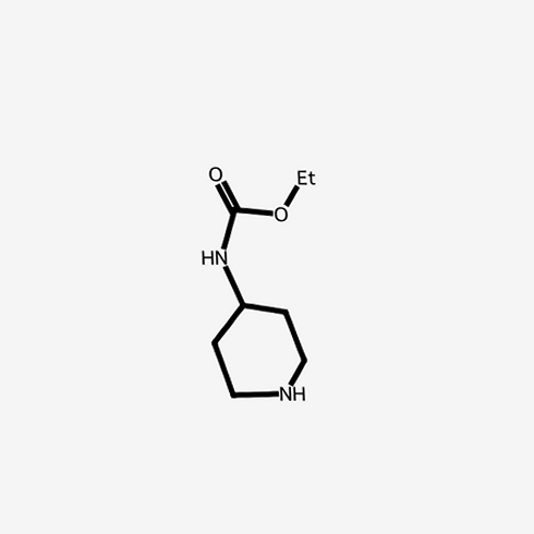 CCOC(=O)NC1CCNCC1